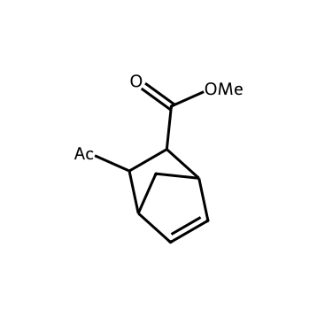 COC(=O)C1C2C=CC(C2)C1C(C)=O